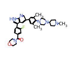 Cc1cc(-c2cnc3[nH]cc(-c4ccc(C(=O)N5CCOCC5)cc4F)c3c2)cc(C)c1N1CCN(C2CCN(C)CC2)CC1